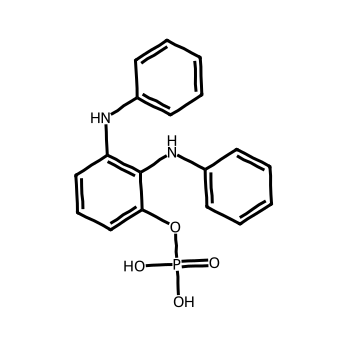 O=P(O)(O)Oc1cccc(Nc2ccccc2)c1Nc1ccccc1